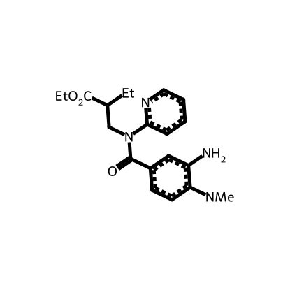 CCOC(=O)C(CC)CN(C(=O)c1ccc(NC)c(N)c1)c1ccccn1